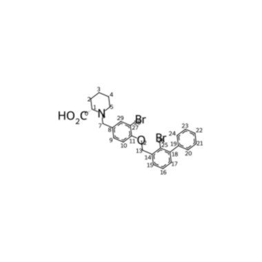 O=C(O)[C@@H]1CCCCN1Cc1ccc(OCc2cccc(-c3ccccc3)c2Br)c(Br)c1